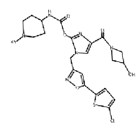 CC(C)N1CCC(NC(=O)Oc2nc(C(=O)N3CC(O)C3)cn2Cc2cc(-c3ccc(Cl)s3)on2)CC1